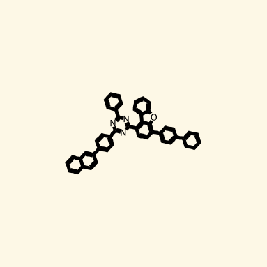 C1=CCCC(c2ccc(-c3ccc(-c4nc(-c5ccccc5)nc(-c5ccc(C6=CC7C=CC=CC7C=C6)cc5)n4)c4c3oc3ccccc34)cc2)=C1